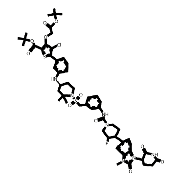 Cn1c(=O)n(C2CCC(=O)NC2=O)c2ccc(C3CCN(C(=O)Nc4cccc(CS(=O)(=O)N5CC[C@H](Nc6cccc(-c7sc(C(=O)OC(C)(C)C)c(OCC(=O)OC(C)(C)C)c7Cl)c6)CC5(C)C)c4)CC3F)cc21